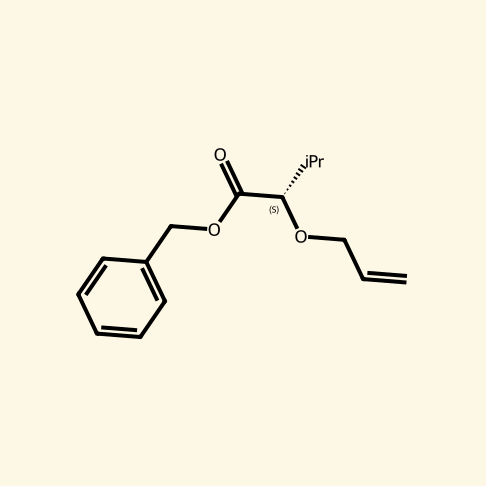 C=CCO[C@H](C(=O)OCc1ccccc1)C(C)C